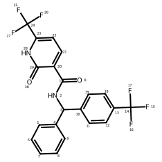 O=C(NC(c1ccccc1)c1ccc(C(F)(F)F)cc1)c1ccc(C(F)(F)F)[nH]c1=O